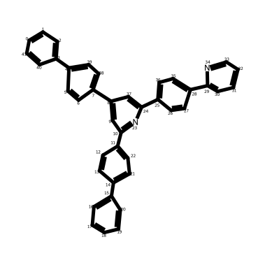 c1ccc(-c2ccc(-c3cc(-c4ccc(-c5ccccc5)cc4)nc(-c4ccc(-c5ccccn5)cc4)c3)cc2)cc1